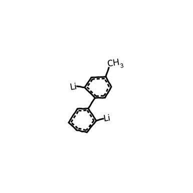 [Li][c]1ccccc1-c1ccc(C)c[c]1[Li]